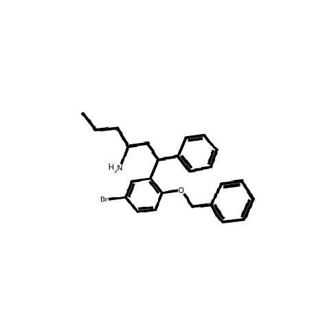 CCCC(N)CC(c1ccccc1)c1cc(Br)ccc1OCc1ccccc1